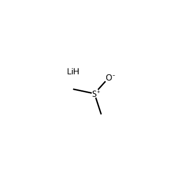 C[S+](C)[O-].[LiH]